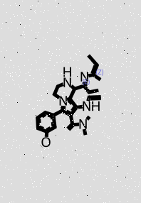 C=CNc1c(C(=C)N(C)C)c(-c2cccc(OC)c2)n2c1C(/C(CC)=N/C(C)=C\C)NCC2